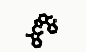 O=C1c2ccccc2C(=O)N1Cc1cc2ccc(F)c(-c3ccccc3Cl)c2o1